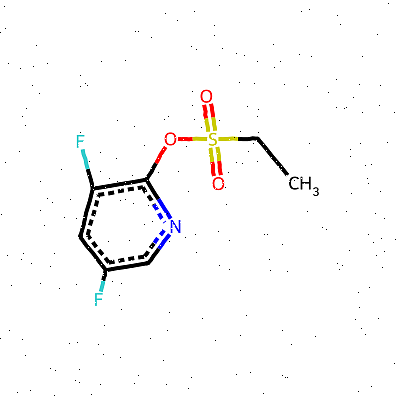 CCS(=O)(=O)Oc1ncc(F)cc1F